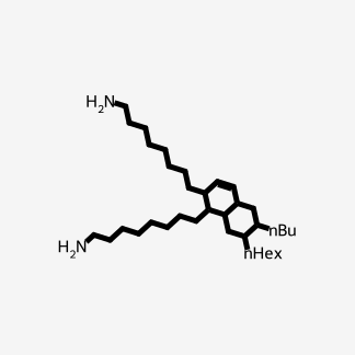 CCCCCCC1CC2C(C=CC(CCCCCCCCN)C2CCCCCCCCN)CC1CCCC